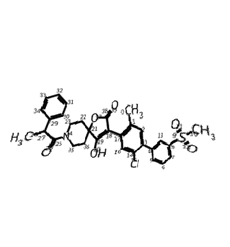 Cc1cc(-c2cccc(S(C)(=O)=O)c2)c(Cl)cc1C1=C(O)C2(CCN(C(=O)C(C)c3ccccc3)CC2)OC1=O